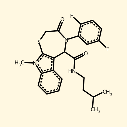 CC(C)CCNC(=O)C1c2c(n(C)c3ccccc23)SCC(=O)N1c1cc(F)ccc1F